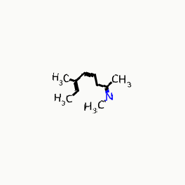 CC=C(C)/C=C\C/C(C)=N\C